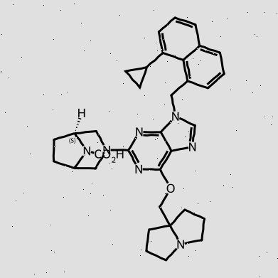 O=C(O)N1C2CC[C@H]1CN(c1nc(OCC34CCCN3CCC4)c3ncn(Cc4cccc5cccc(C6CC6)c45)c3n1)C2